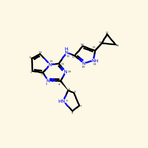 c1cc2nc([C@H]3CCCN3)nc(Nc3cc(C4CC4)[nH]n3)n2c1